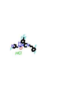 Cl.O=C(NCc1ccnc(F)c1)n1c2c(c3cc(C(F)(F)F)ccc31)CN(C/C=C/c1ccc(F)cc1F)CC2